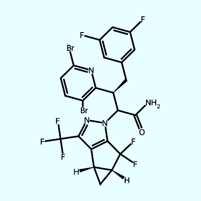 NC(=O)C([C@H](Cc1cc(F)cc(F)c1)c1nc(Br)ccc1Br)n1nc(C(F)(F)F)c2c1C(F)(F)[C@@H]1C[C@H]21